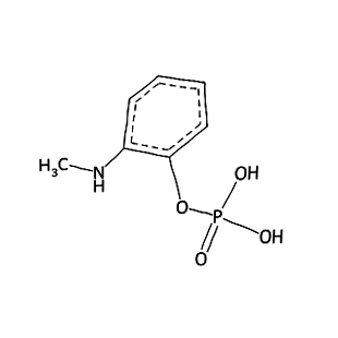 CNc1ccccc1OP(=O)(O)O